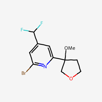 COC1(c2cc(C(F)F)cc(Br)n2)CCOC1